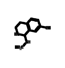 O=C(O)NC1NCCc2ccc(O)cc21